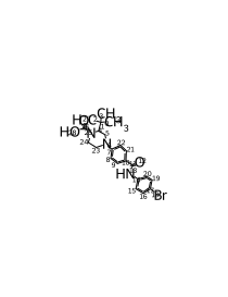 CC(C)(C)C1CN(c2ccc(C(=O)Nc3ccc(Br)cc3)cc2)CCN1C(=O)O